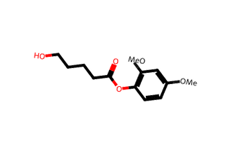 COc1ccc(OC(=O)CCCCO)c(OC)c1